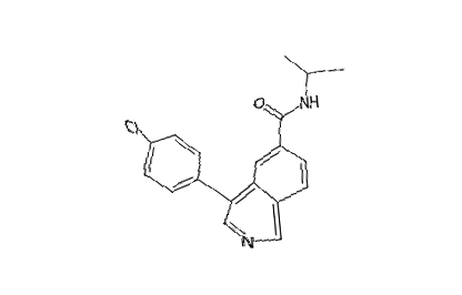 CC(C)NC(=O)c1ccc2cncc(-c3ccc(Cl)cc3)c2c1